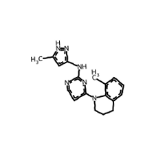 Cc1cc(Nc2nccc(N3CCCc4cccc(C)c43)n2)n[nH]1